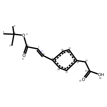 CC(C)(C)OC(=O)/C=C/c1ccc(CC(=O)O)cc1